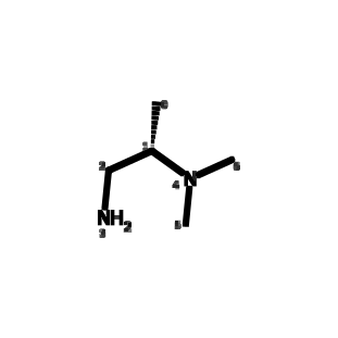 C[C@@H](CN)N(C)C